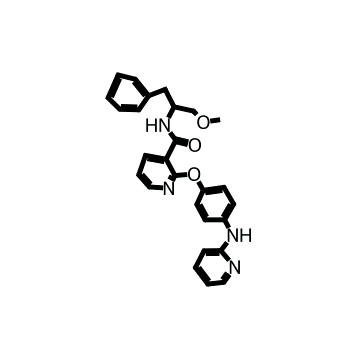 COCC(Cc1ccccc1)NC(=O)c1cccnc1Oc1ccc(Nc2ccccn2)cc1